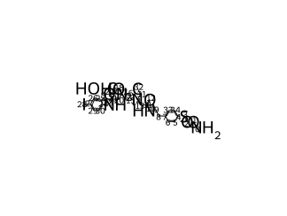 NOOSc1ccc(CCNC(=O)CN(CCN(CC(=O)O)CC(=O)Nc2ccc(I)cc2)CC(=O)O)cc1